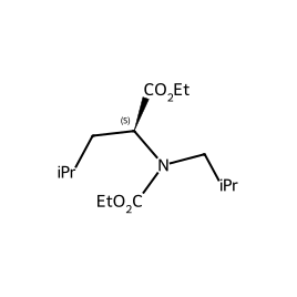 CCOC(=O)[C@H](CC(C)C)N(CC(C)C)C(=O)OCC